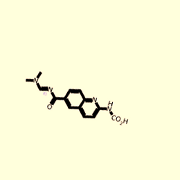 CN(C)/C=N/C(=O)c1ccc2nc(NC(=O)O)ccc2c1